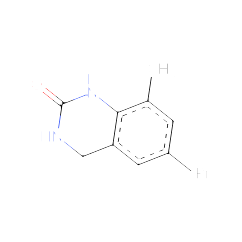 Cc1cc(C(C)C)cc2c1NC(=O)NC2